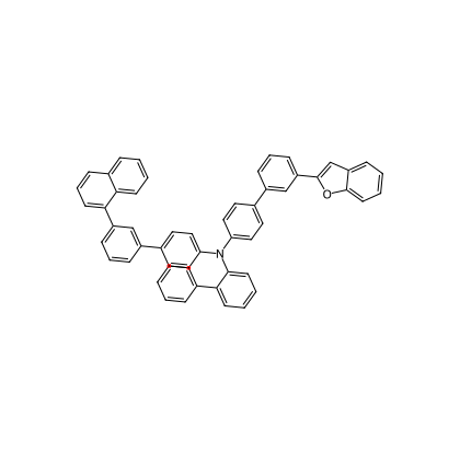 c1ccc(-c2ccccc2N(c2ccc(-c3cccc(-c4cc5ccccc5o4)c3)cc2)c2ccc(-c3cccc(-c4cccc5ccccc45)c3)cc2)cc1